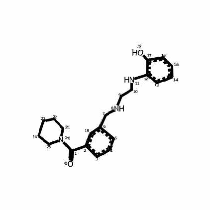 O=C(c1cccc(CNCCNc2ccccc2O)c1)N1CCCCC1